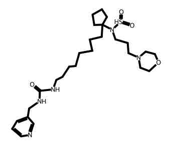 O=C(NCCCCCCCCC1(N(CCCN2CCOCC2)[SH](=O)=O)CCCC1)NCc1cccnc1